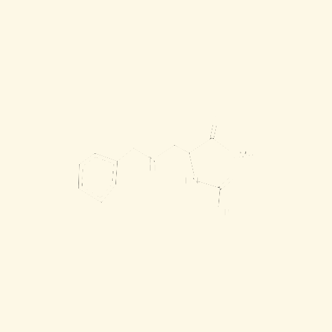 COC(=O)C(CNCc1ccccc1)NC(=O)OCC(C)C